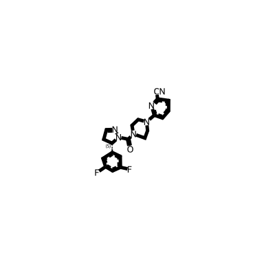 N#Cc1cccc(N2CCN(C(=O)N3N=CC[C@H]3c3cc(F)cc(F)c3)CC2)n1